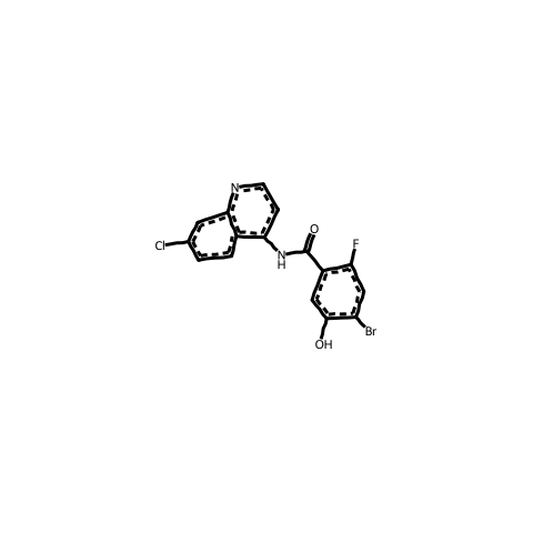 O=C(Nc1ccnc2cc(Cl)ccc12)c1cc(O)c(Br)cc1F